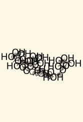 CC1O[C@@H](O[C@@H]2C(CO)O[C@@H](OC3CC[C@@]4(C)C(=CC[C@H]5[C@@H]6CC7OC(O)(CC[C@@H](C)CO[C@@H]8OC(CO)[C@@H](O)[C@H](O)C8O)[C@@H](C)[C@@H]7[C@@]6(C)CC[C@@H]54)C3)C(O[C@@H]3OC(O)[C@H](O)[C@H](O)C3O)[C@H]2O)C(O)[C@@H](O)[C@H]1O